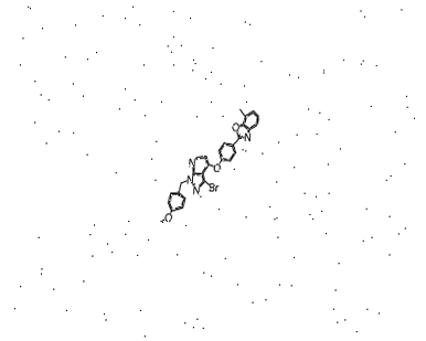 COc1ccc(Cn2nc(Br)c3c(Oc4ccc(-c5nc6cccc(C)c6o5)cc4)ccnc32)cc1